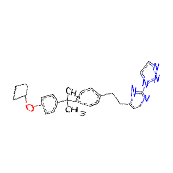 CC(C)(c1ccc(CCc2ccnc(-n3ccnn3)n2)cc1)c1ccc(OC2CCC2)cc1